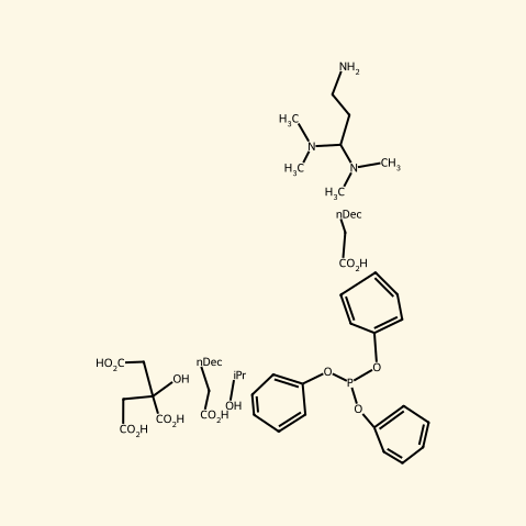 CC(C)O.CCCCCCCCCCCC(=O)O.CCCCCCCCCCCC(=O)O.CN(C)C(CCN)N(C)C.O=C(O)CC(O)(CC(=O)O)C(=O)O.c1ccc(OP(Oc2ccccc2)Oc2ccccc2)cc1